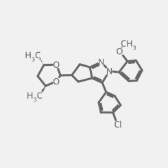 COc1ccccc1-n1nc2c(c1-c1ccc(Cl)cc1)CC(C1O[C@@H](C)C[C@H](C)O1)C2